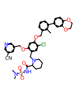 Cc1c(COc2cc(OCc3cncc(C#N)c3)c(CN3CCCCC3C(=O)NS(=O)(=O)N(C)C)cc2Cl)cccc1-c1ccc2c(c1)OCCO2